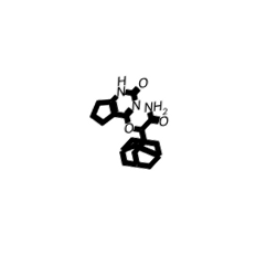 NC(=O)C(Oc1nc(=O)[nH]c2c1CCC2)C12CC3CC(CC(C3)C1)C2